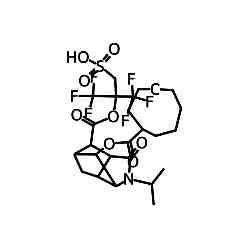 CC(C)N1C(=O)C2C3CC(C(OC(=O)C4CCCCCCC4)C31)C2C(=O)OC(CS(=O)(=O)O)(C(F)(F)F)C(F)(F)F